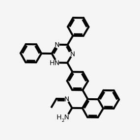 C/C=N\C(N)c1ccc2ccccc2c1-c1ccc(C2N=C(c3ccccc3)N=C(c3ccccc3)N2)cc1